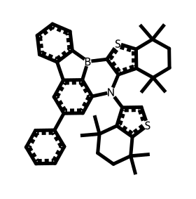 CC1(C)CCC(C)(C)c2c(N3c4cc(-c5ccccc5)cc5c4B(c4ccccc4-5)c4sc5c(c43)C(C)(C)CCC5(C)C)csc21